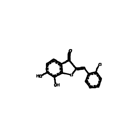 O=C1C(=Cc2ccccc2Cl)Oc2c1ccc(O)c2O